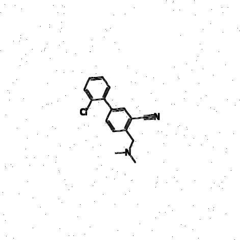 CN(C)Cc1ccc(-c2ccccc2Cl)cc1C#N